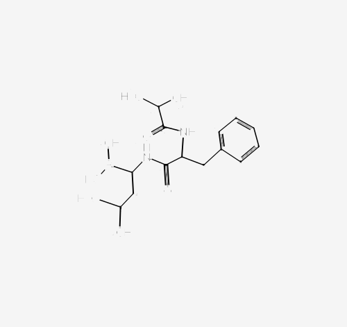 CB(C)C(CC(C)C)NC(=O)C(Cc1ccccc1)NC(=O)C(C)C